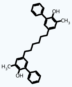 Cc1cc(CCCCCCc2cc(C)c(O)c(-c3ccccc3)c2)cc(-c2ccccc2)c1O